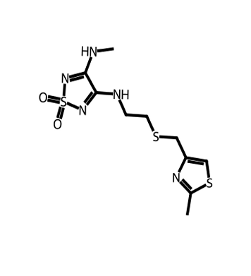 CNC1=NS(=O)(=O)N=C1NCCSCc1csc(C)n1